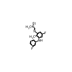 CCN(C)C=Nc1cc(F)cc(Nc2cccc(F)c2)c1C